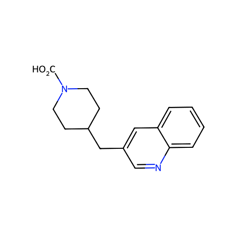 O=C(O)N1CCC(Cc2cnc3ccccc3c2)CC1